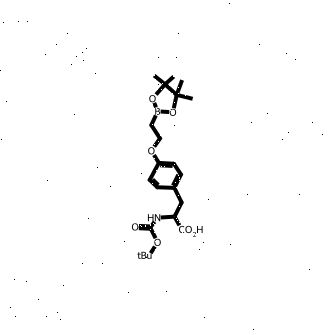 CC(C)(C)OC(=O)NC(Cc1ccc(OCCB2OC(C)(C)C(C)(C)O2)cc1)C(=O)O